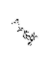 C=CC(=O)Nc1cc2c(Nc3ccc(OCc4cccc(F)c4)c(Cl)c3)ncnc2cc1O[C@@H]1CCN(C)C1